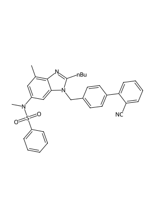 CCCCc1nc2c(C)cc(N(C)S(=O)(=O)c3ccccc3)cc2n1Cc1ccc(-c2ccccc2C#N)cc1